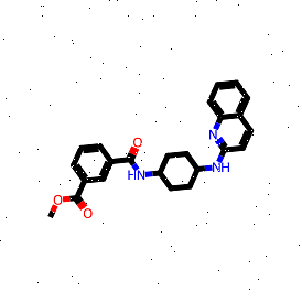 COC(=O)c1cccc(C(=O)NC2CCC(Nc3ccc4ccccc4n3)CC2)c1